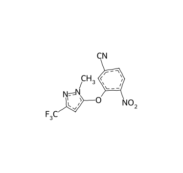 Cn1nc(C(F)(F)F)cc1Oc1cc(C#N)ccc1[N+](=O)[O-]